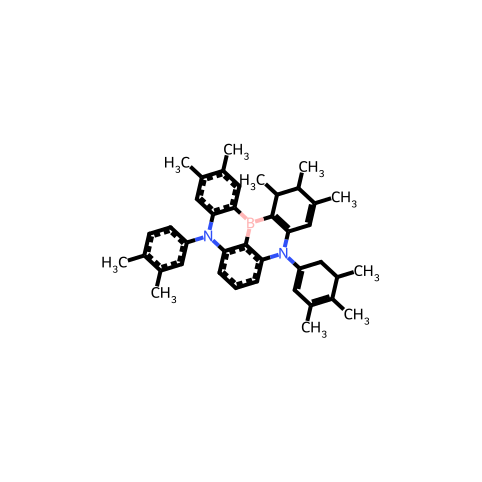 CC1=CC2=C(B3c4cc(C)c(C)cc4N(c4ccc(C)c(C)c4)c4cccc(c43)N2C2=CC(C)=C(C)C(C)C2)C(C)C1C